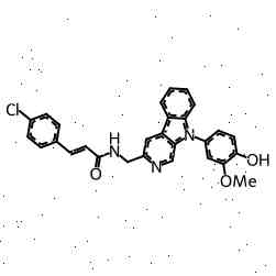 COc1cc(-n2c3ccccc3c3cc(CNC(=O)/C=C/c4ccc(Cl)cc4)ncc32)ccc1O